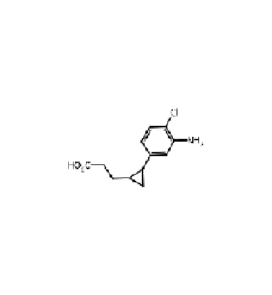 Nc1cc(C2CC2CCC(=O)O)ccc1Cl